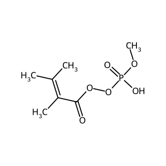 COP(=O)(O)OOC(=O)C(C)=C(C)C